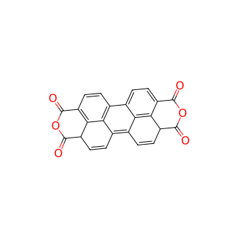 O=C1OC(=O)C2C=Cc3c4c5c6c(ccc5c5ccc1c2c35)C(=O)OC(=O)C6C=C4